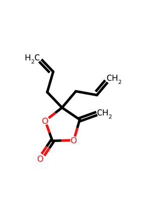 C=CCC1(CC=C)OC(=O)OC1=C